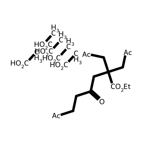 CC(=O)O.CC(=O)O.CC(=O)O.CC(=O)O.CC(=O)O.CCOC(=O)C(CC(C)=O)(CC(C)=O)CC(=O)CCC(C)=O